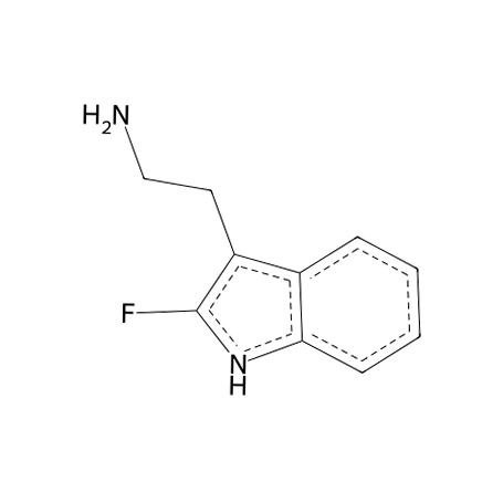 NCCc1c(F)[nH]c2ccccc12